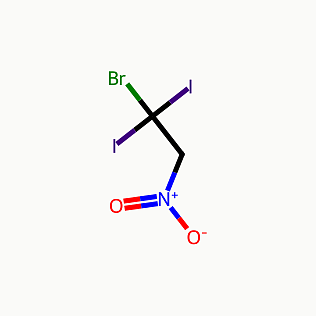 O=[N+]([O-])CC(Br)(I)I